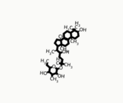 CCC1OC(OC(C)(C)CCC(O)[C@@H](C)C2CC[C@@]3(C)C4=C(CC[C@]23C)[C@@]2(C)CC[C@H](O)C(C)(C)C2CC4)C(O)C(C)C1O